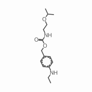 CCNc1ccc(COC(=O)NCCOC(C)C)cc1